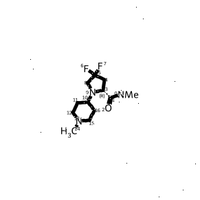 CNC(=O)[C@H]1CC(F)(F)CN1C1CCN(C)CC1